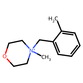 [CH2]c1ccccc1C[N+]1(C)CCOCC1